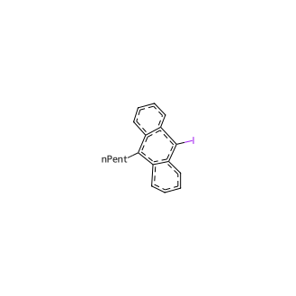 CCCCCc1c2ccccc2c(I)c2ccccc12